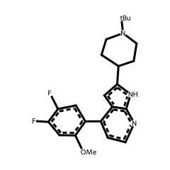 COc1cc(F)c(F)cc1-c1ccnc2[nH]c(C3CCN(C(C)(C)C)CC3)cc12